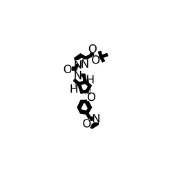 CC(C)(C)OC(=O)c1ccn(C(=O)N2C[C@H]3C[C@H](Oc4cccc(-c5ncco5)c4)C[C@H]3C2)n1